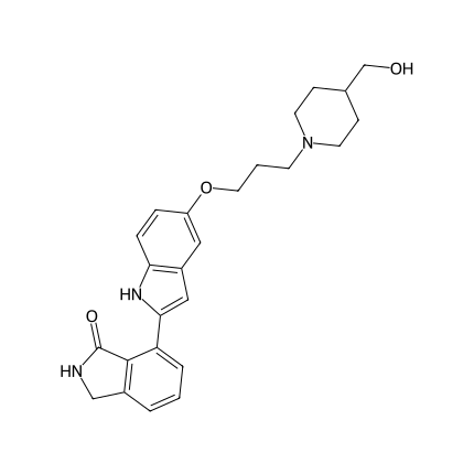 O=C1NCc2cccc(-c3cc4cc(OCCCN5CCC(CO)CC5)ccc4[nH]3)c21